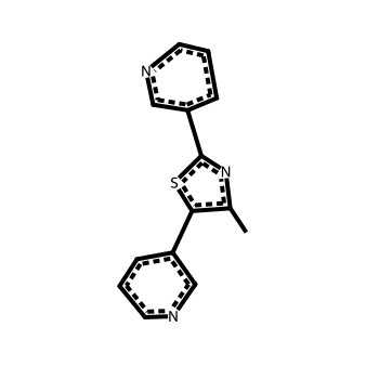 Cc1nc(-c2cccnc2)sc1-c1cccnc1